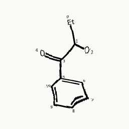 CCC([O])C(=O)c1ccccc1